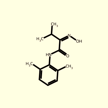 Cc1cccc(C)c1NC(=O)/C(=N\O)C(C)C